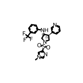 Cn1cnc(S(=O)(=O)N2C[C@H](Nc3cccc(C(F)(F)F)c3)[C@@H](c3cccnc3)C2)c1